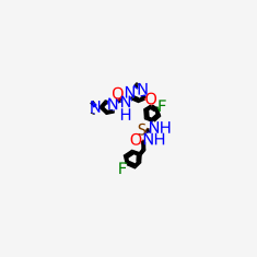 CN(C)[C@H]1CCN(C(=O)Nc2cc(Oc3ccc(NC(=S)NC(=O)Cc4ccc(F)cc4)cc3F)ncn2)C1